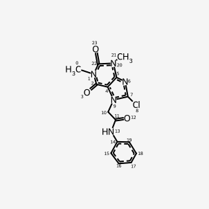 Cn1c(=O)c2c(nc(Cl)n2CC(=O)Nc2ccccc2)n(C)c1=O